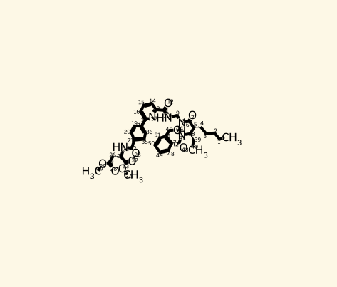 CCCCC[C@@H](C(=O)NCNC(=O)c1cccc(-c2ccc(C(=O)N[C@@H](CC(=O)OC)C(=O)OC)cc2)n1)[C@@H](CC)N(C=O)OCc1ccccc1